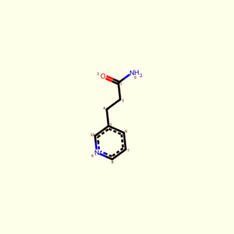 NC(=O)C[CH]c1cccnc1